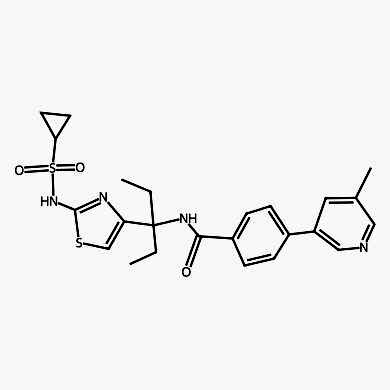 CCC(CC)(NC(=O)c1ccc(-c2cncc(C)c2)cc1)c1csc(NS(=O)(=O)C2CC2)n1